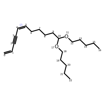 C=CC#C/C=C\CCCCC(OCCCCC)OCCCCC